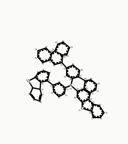 C1=CC2Oc3cccc(-c4cccc(N(c5ccc6c(c5)oc5ccccc56)c5cc(-c6cc7ccccc7c7ccccc67)ccc5-c5ccccc5)c4)c3C2C=C1